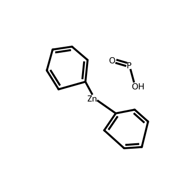 O=PO.c1cc[c]([Zn][c]2ccccc2)cc1